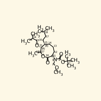 COCN(C(=O)OC(C)(C)C)[C@H]1CCC[C@H](CCC(C)C)[C@@H](OCC(C)C)[C@H](C)OC1=O